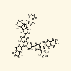 c1ccc2cc(-n3c4ccccc4c4cc(-c5ccc6c(c5)c5cc(-c7ccc8c(c7)c7ccccc7n8-c7ccc8ccccc8c7)ccc5n6-c5ccc6ccccc6c5)ccc43)ccc2c1